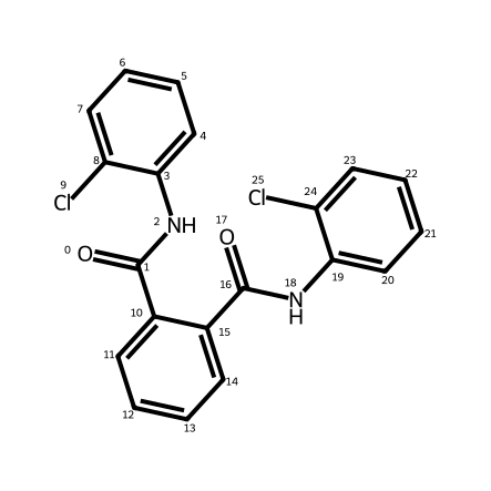 O=C(Nc1ccccc1Cl)c1ccccc1C(=O)Nc1ccccc1Cl